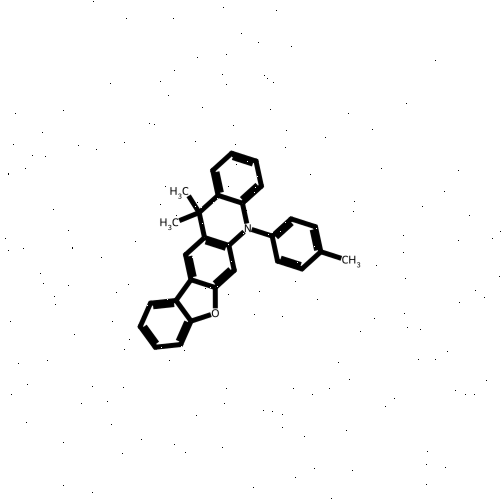 Cc1ccc(N2c3ccccc3C(C)(C)c3cc4c(cc32)oc2ccccc24)cc1